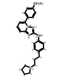 CC(=O)Nc1ccc(-c2cccc3nc(Nc4ccc(CCCN5CCCC5)cc4)nn23)cc1